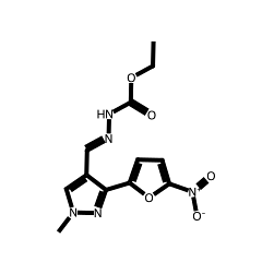 CCOC(=O)N/N=C/c1cn(C)nc1-c1ccc([N+](=O)[O-])o1